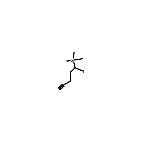 C#CCCC(I)[Si](C)(C)C